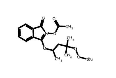 CC(CC(C)(C)OOC(C)(C)C)OC1=[N+](OC(N)=O)C(=O)c2ccccc21